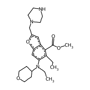 CCc1c(N(CC)C2CCOCC2)cc2oc(CN3CCNCC3)cc2c1C(=O)OC